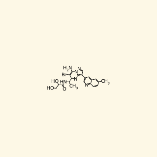 Cc1ccc2ncc(-c3cnn4c(N)c(Br)c(C(C)NC(=O)C(O)CO)nc34)cc2c1